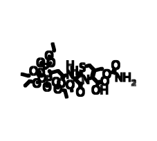 CCOOP(=O)(OOCC)C(CC(=O)NC1(OC)C(=O)N2C(C(=O)O)=C(COC(N)=O)CS[C@H]21)P(=O)(OOCC)OOCC